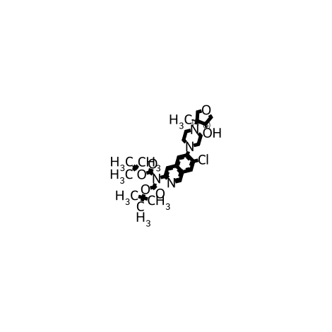 CC(C)(C)OC(=O)N(C(=O)OC(C)(C)C)c1cc2cc(N3CCN([C@@]4(C)COC[C@H]4O)CC3)c(Cl)cc2cn1